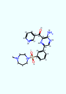 CN1CCCN(S(=O)(=O)c2cccc(-c3cnc(N)c(C(=O)c4cccnc4)n3)c2)CC1